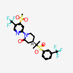 CC(C)([C@@H]1CCN(c2cc(S(C)(=O)=O)c(C(F)(F)F)cn2)C(=O)C1)S(=O)(=O)c1cccc(C(F)(F)F)c1